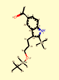 CC(=O)c1ccc2[nH]c([Si](C)(C)C)c(CCCO[Si](C)(C)C(C)(C)C)c2c1